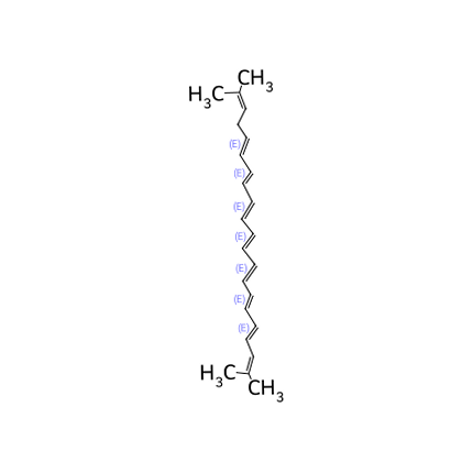 CC(C)=C/C=C/C=C/C=C/C=C/C=C/C=C/C=C/CC=C(C)C